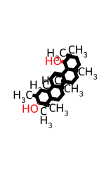 CC1CC2(C)C(CCC3(C)C2CC=C2C4C(O)C(C)(C)CCC4(C)CCC23C)C(C)(C)C1O